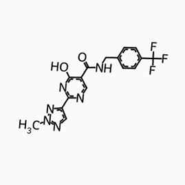 Cn1ncc(-c2ncc(C(=O)NCc3ccc(C(F)(F)F)cc3)c(O)n2)n1